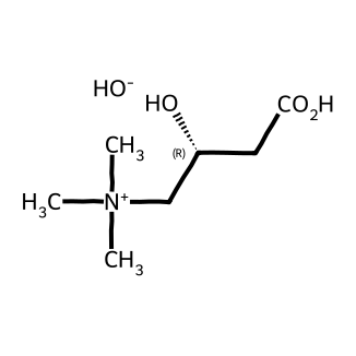 C[N+](C)(C)C[C@H](O)CC(=O)O.[OH-]